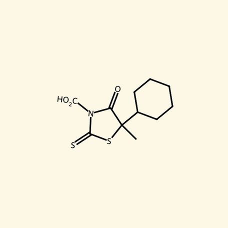 CC1(C2CCCCC2)SC(=S)N(C(=O)O)C1=O